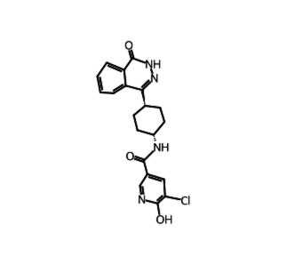 O=C(N[C@H]1CC[C@H](c2n[nH]c(=O)c3ccccc32)CC1)c1cnc(O)c(Cl)c1